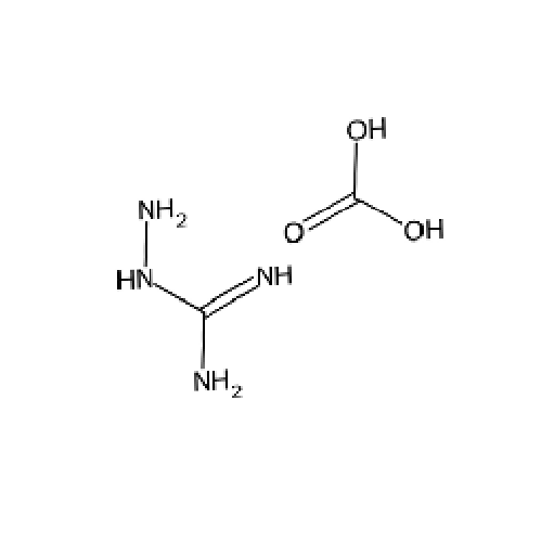 N=C(N)NN.O=C(O)O